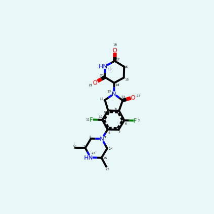 CC1CN(c2cc(F)c3c(c2F)CN(C2CCC(=O)NC2=O)C3=O)CC(C)N1